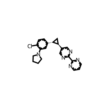 Clc1ccc([C@@H]2C[C@H]2c2cnc(-c3ncccn3)nc2)cc1N1CCCC1